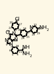 N=C(N)c1cccc(-n2cnc3c(=O)n(-c4ccc(Cl)cc4)c(-c4ccc(-c5ccc(N)cn5)cc4)nc32)c1